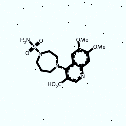 COc1cc2ncc(C(=O)O)c(N3CCCN(S(N)(=O)=O)CC3)c2cc1OC